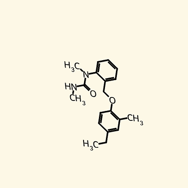 CCc1ccc(OCc2ccccc2N(C)C(=O)NC)c(C)c1